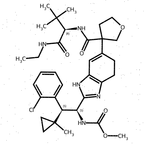 CCNC(=O)[C@H](NC(=O)C1(C2=Cc3[nH]c([C@@H](NC(=O)OC)[C@H](c4ccccc4Cl)C4(C)CC4)nc3CC2)CCOC1)C(C)(C)C